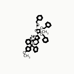 COc1ccc(C(c2ccccc2)(c2ccccc2)N2CCc3cc([C@@H]4O[C@H](COCc5ccccc5)[C@@H](OCc5ccccc5)[C@@]4(C)OCc4ccccc4)n4ncnc2c34)cc1